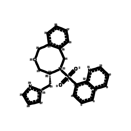 O=S(=O)(c1cccc2cccnc12)N1Cc2ccccc2COC[C@H]1Cn1cccn1